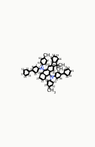 Cc1ccc(N(c2ccc(-c3ccccc3)cc2)c2c3ccccc3c(N(c3ccc(C)cc3)c3ccc(-c4ccccc4)cc3)c3cc4c(cc23)-c2ccccc2C4(C)C)cc1